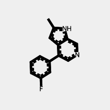 Cc1cc2c(-c3cccc(F)c3)cncc2[nH]1